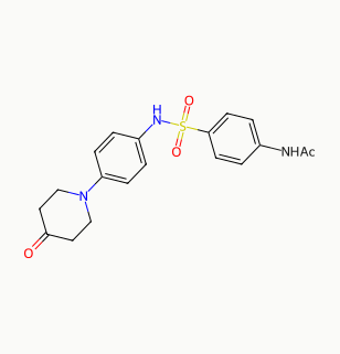 CC(=O)Nc1ccc(S(=O)(=O)Nc2ccc(N3CCC(=O)CC3)cc2)cc1